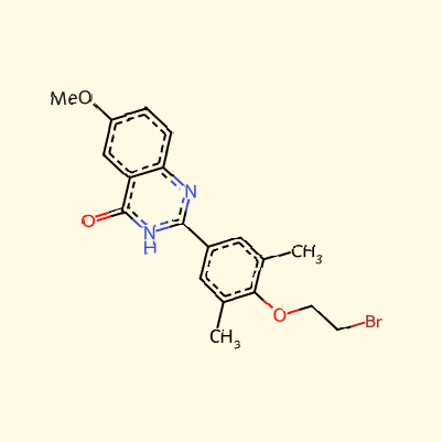 COc1ccc2nc(-c3cc(C)c(OCCBr)c(C)c3)[nH]c(=O)c2c1